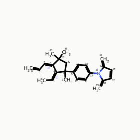 C=C/C=C1\C(=C/C)C(C)(c2ccc(-n3c(=C)ccc3=C)cc2)CC1(C)C